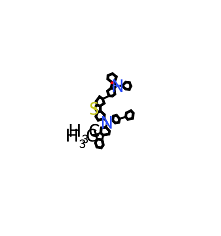 CC1(C)c2ccccc2-c2ccc(N(c3ccc(-c4ccccc4)cc3)c3ccc4sc5ccc(-c6ccc7c(c6)c6ccccc6n7-c6ccccc6)cc5c4c3)cc21